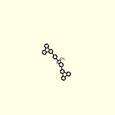 Cn1c(-c2ccc(-c3ccc4c5ccccc5c5ccccc5c4c3)cc2)nc2cc(-c3ccc4c5ccccc5c5ccccc5c4c3)ccc21